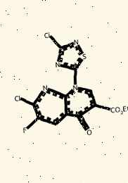 CCOC(=O)c1cn(-c2nc(Cl)ns2)c2nc(Cl)c(F)cc2c1=O